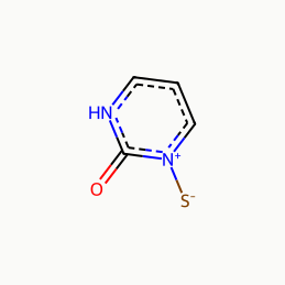 O=c1[nH]ccc[n+]1[S-]